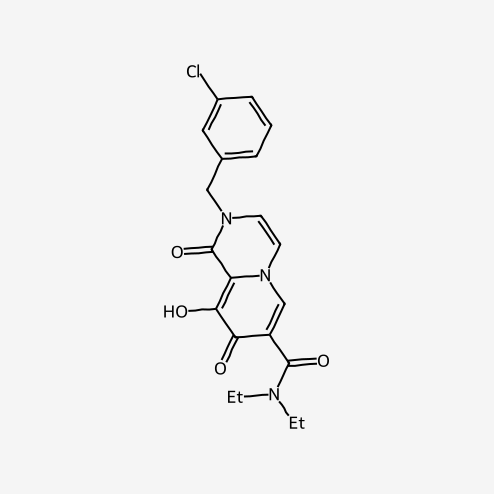 CCN(CC)C(=O)c1cn2ccn(Cc3cccc(Cl)c3)c(=O)c2c(O)c1=O